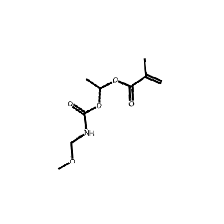 C=C(C)C(=O)OC(C)OC(=O)NCOC